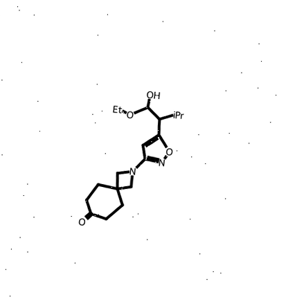 CCOC(O)C(c1cc(N2CC3(CCC(=O)CC3)C2)no1)C(C)C